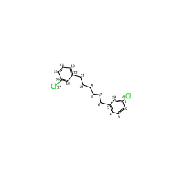 Clc1cccc(CCCCCCc2cccc(Cl)c2)c1